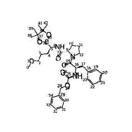 COCCC[C@H](NC(=O)[C@@H]1CCCN1C(=O)[C@@H](Cc1ccccc1)NC(=O)OCc1ccccc1)B1OC(C)(C)C(C)(C)O1